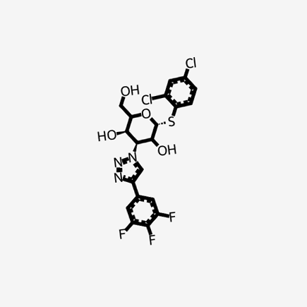 OCC1O[C@H](Sc2ccc(Cl)cc2Cl)C(O)[C@@H](n2cc(-c3cc(F)c(F)c(F)c3)nn2)[C@H]1O